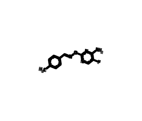 Cc1ccc(C=NOc2ncc(F)c(N)n2)cc1